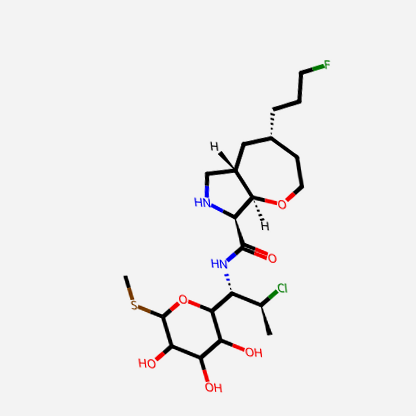 CSC1OC([C@H](NC(=O)[C@H]2NC[C@@H]3C[C@H](CCCF)CCO[C@H]32)[C@H](C)Cl)C(O)C(O)C1O